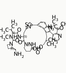 CCn1c(-c2cccnc2[C@H](C)OC)c2c3cc(ccc31)-c1csc(n1)C[C@H](NC(=O)[C@H](C(C)C)N(C)C(=O)N1CC[C@@H]1CN)C(=O)N1CCC[C@@](O)(N1)C(=O)OCC(C)(C)C2